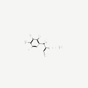 CCC=C(C(=O)O)C(=O)c1cc(F)c(F)c(F)c1F